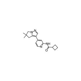 CC1(C)Cc2c(-c3ccnc(NC(=O)C4CCC4)c3)cnn2C1